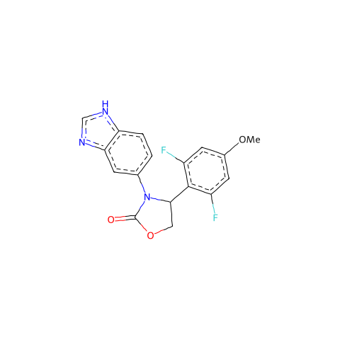 COc1cc(F)c(C2COC(=O)N2c2ccc3[nH]cnc3c2)c(F)c1